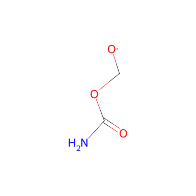 NC(=O)OC[O]